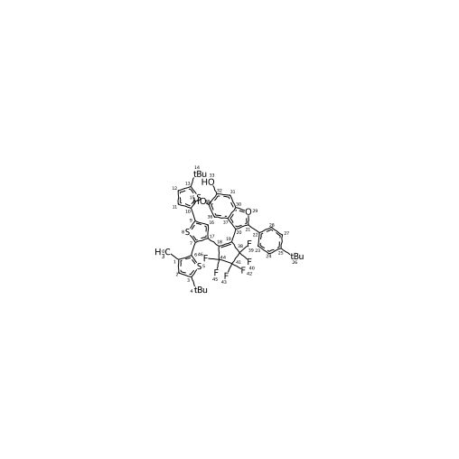 Cc1cc(C(C)(C)C)sc1-c1sc(-c2ccc(C(C)(C)C)s2)cc1C1=C(c2c(-c3ccc(C(C)(C)C)cc3)oc3cc(O)c(O)cc23)C(F)(F)C(F)(F)C1(F)F